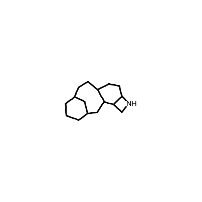 C1CC2CCC3CCC4NCC4C3CC(C1)C2